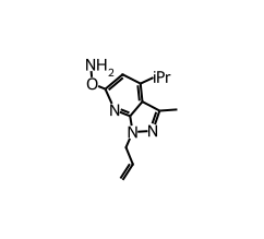 C=CCn1nc(C)c2c(C(C)C)cc(ON)nc21